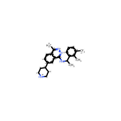 Cc1c(C(C)Nc2nnc(C)c3ccc(C4CCNCC4)cc23)cccc1C(F)(F)F